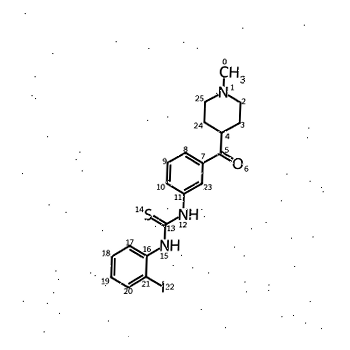 CN1CCC(C(=O)c2cccc(NC(=S)Nc3ccccc3I)c2)CC1